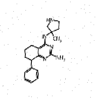 CC1(Nc2nc(N)nc3c2CCCC3c2ccccc2)CCNC1